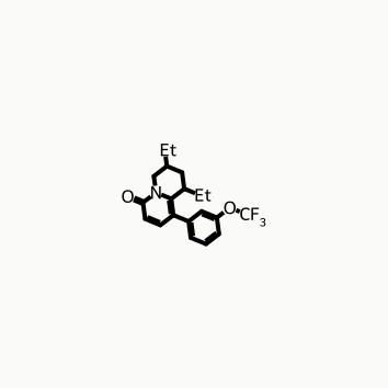 CCC1CC(CC)c2c(-c3cccc(OC(F)(F)F)c3)ccc(=O)n2C1